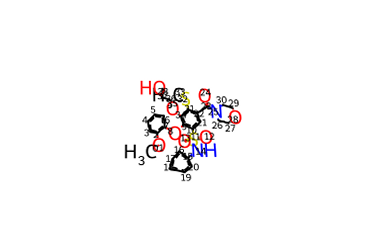 COc1ccccc1Oc1c(S(=O)(=O)Nc2ccccc2)cc(C(=O)N2CCOCC2)c(SC)c1OCCO